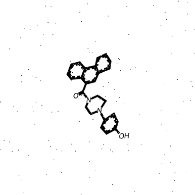 O=C(c1cc2ccccc2c2ccccc12)N1CCN(c2ccc(O)cc2)CC1